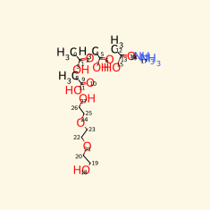 CC(=O)O.CC(=O)O.CC(=O)O.CC(=O)O.N.N.OCCOCCOCCO